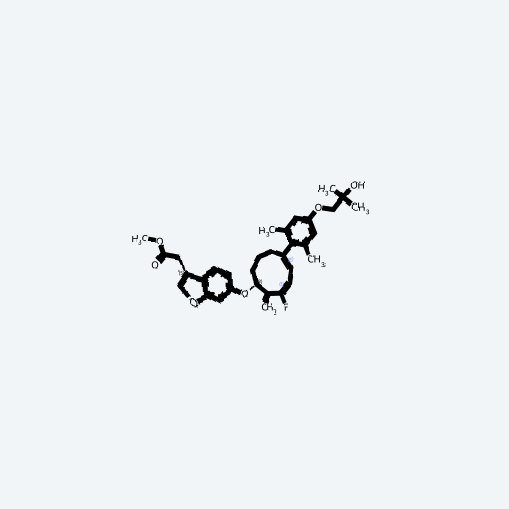 C=C1/C(F)=C\C=C(\c2c(C)cc(OCC(C)(C)O)cc2C)CCC[C@H]1Oc1ccc2c(c1)OC[C@H]2CC(=O)OC